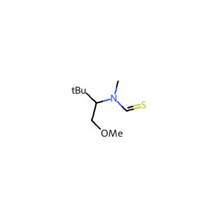 COCC(N(C)C=S)C(C)(C)C